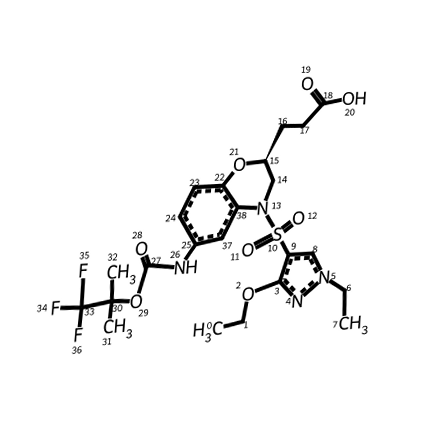 CCOc1nn(CC)cc1S(=O)(=O)N1C[C@H](CCC(=O)O)Oc2ccc(NC(=O)OC(C)(C)C(F)(F)F)cc21